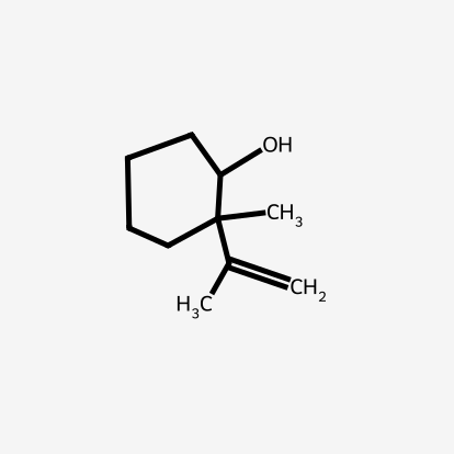 C=C(C)C1(C)CCCCC1O